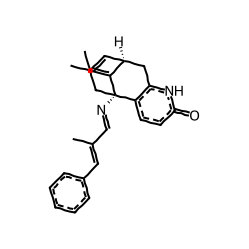 C/C=C1\[C@H]2C=C(C)C[C@]1(/N=C/C(C)=C/c1ccccc1)c1ccc(=O)[nH]c1C2